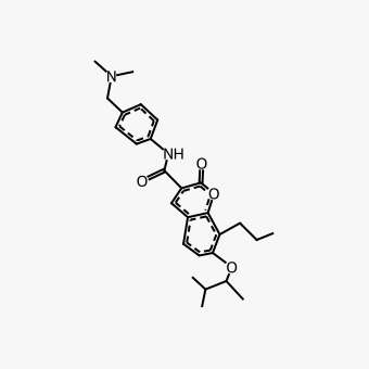 CCCc1c(OC(C)C(C)C)ccc2cc(C(=O)Nc3ccc(CN(C)C)cc3)c(=O)oc12